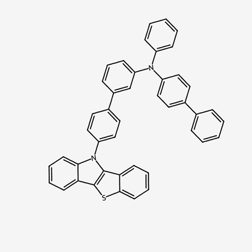 c1ccc(-c2ccc(N(c3ccccc3)c3cccc(-c4ccc(-n5c6ccccc6c6sc7ccccc7c65)cc4)c3)cc2)cc1